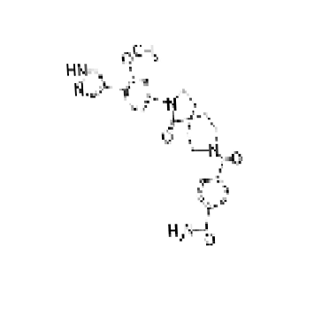 COc1cc(N2CCC3(CCN(C(=O)c4ccc(C(N)=O)cc4)CC3)C2=O)ccc1-c1cn[nH]c1